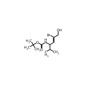 CC(C)C(C=C(Br)CO)NC(=O)OC(C)(C)C